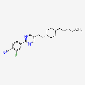 CCCCC[C@H]1CC[C@H](CCc2cnc(-c3ccc(C#N)c(F)c3)nc2)CC1